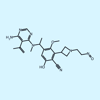 C=C(C)c1c(N)ncnc1N(C)C(C)c1cc(O)c(C#N)c(C2CN(CCN=O)C2)c1OC